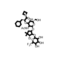 CC[C@H]1C(OC2OC(C(F)(F)F)C(O)C(O)C2O)C(O[C@@H]2O[C@@H](CO)C(O)C(O[C@@H](CC3CCCCC3)C(=O)N3CCC3)C2NC(C)=O)CC1(C)C